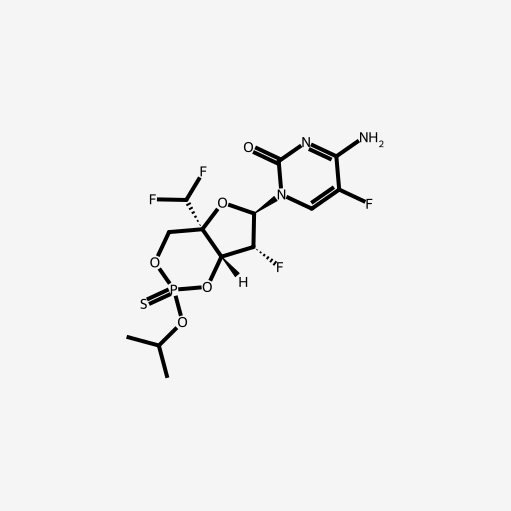 CC(C)OP1(=S)OC[C@@]2(C(F)F)O[C@@H](n3cc(F)c(N)nc3=O)[C@H](F)[C@@H]2O1